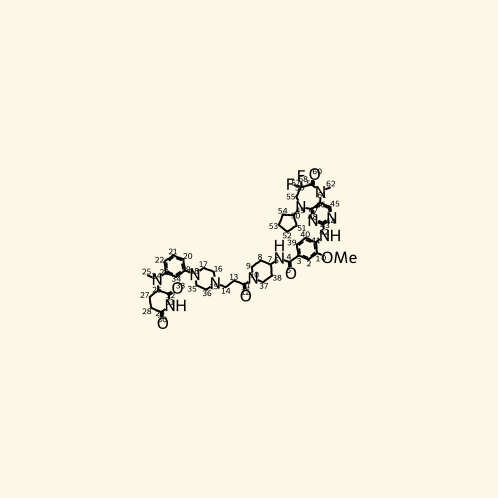 COc1cc(C(=O)NC2CCN(C(=O)CCN3CCN(c4cccc(N(C)C5CCC(=O)NC5=O)c4)CC3)CC2)ccc1Nc1ncc2c(n1)N(C1CCCC1)CC(F)(F)C(=O)N2C